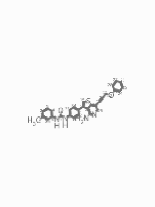 Cc1cccc(NC(=O)Nc2ccc(-c3csc4c(C#CCOc5ccccc5)cnc(N)c34)cc2)c1